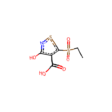 CCS(=O)(=O)c1snc(O)c1C(=O)O